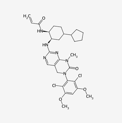 C=CC(=O)N[C@H]1CCC(C2CCCC2)C[C@H]1Nc1ncc2c(n1)N(C)C(=O)N(c1c(Cl)c(OC)cc(OC)c1Cl)C2